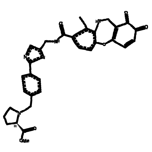 COC(=O)[C@@H]1CCCN1Cc1ccc(-c2ncc(CNC(=O)c3ccc4c(c3C)NCC3=C(C=CC(=O)C3=O)O4)s2)cc1